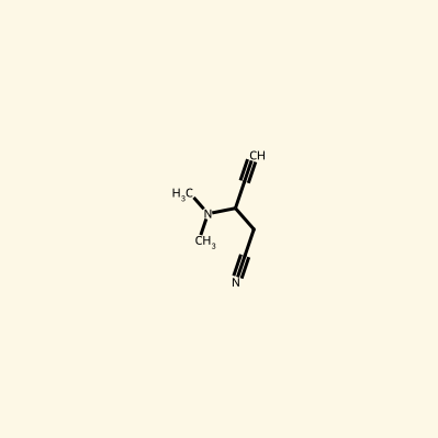 C#CC(CC#N)N(C)C